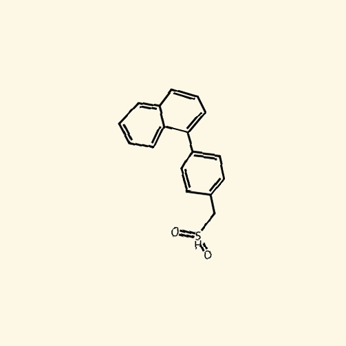 O=[SH](=O)Cc1ccc(-c2cccc3ccccc23)cc1